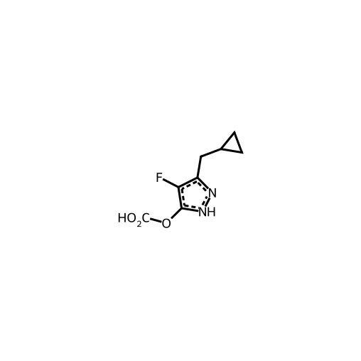 O=C(O)Oc1[nH]nc(CC2CC2)c1F